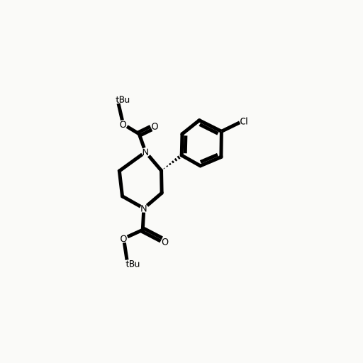 CC(C)(C)OC(=O)N1CCN(C(=O)OC(C)(C)C)[C@H](c2ccc(Cl)cc2)C1